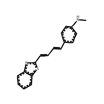 CNc1ccc(/C=C/C=C/c2nc3ccccc3s2)cc1